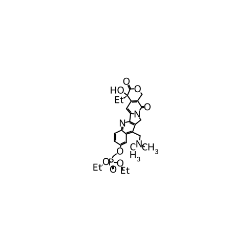 CCOP(=O)(COc1ccc2nc3c(c(CN(C)C)c2c1)Cn1c-3cc2c(c1=O)COC(=O)[C@]2(O)CC)OCC